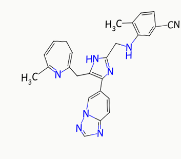 CC1=NC(Cc2[nH]c(CNc3cc(C#N)ccc3C)nc2-c2ccc3ncnn3c2)=CCC=C1